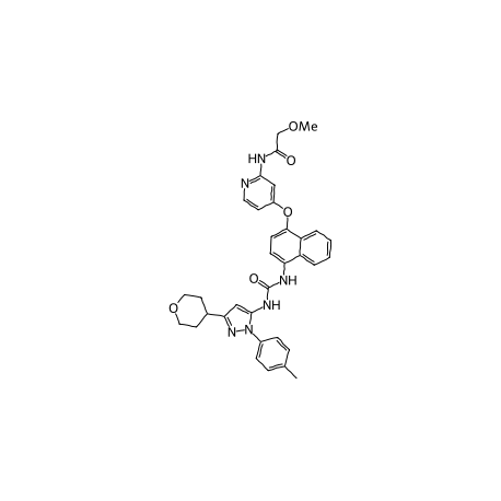 COCC(=O)Nc1cc(Oc2ccc(NC(=O)Nc3cc(C4CCOCC4)nn3-c3ccc(C)cc3)c3ccccc23)ccn1